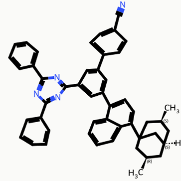 C[C@@H]1C[C@@H]2C[C@H](C)CC(c3ccc(-c4cc(-c5ccc(C#N)cc5)cc(-c5nc(-c6ccccc6)nc(-c6ccccc6)n5)c4)c4ccccc34)(C1)C2